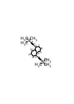 C[Si](C)(C)C#Cc1cccc2c(C#C[Si](C)(C)C)cccc12